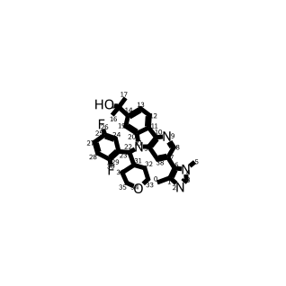 Cc1ncn(C)c1-c1cnc2c3ccc(C(C)(C)O)cc3n(C(c3cc(F)ccc3F)C3CCOCC3)c2c1